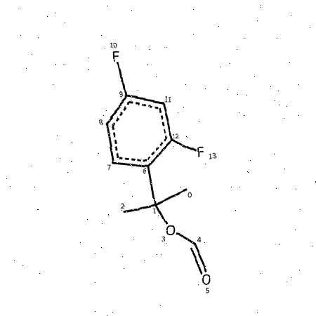 CC(C)(OC=O)c1ccc(F)cc1F